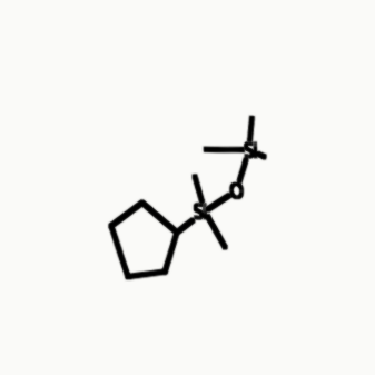 C[Si](C)(C)O[Si](C)(C)C1CCCC1